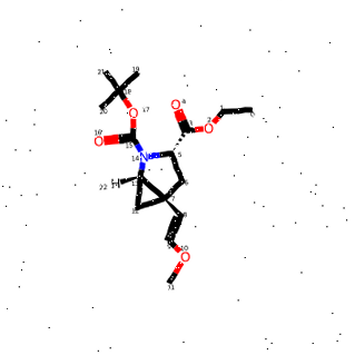 CCOC(=O)[C@@H]1C[C@]2(/C=C/OC)C[C@@H]2N1C(=O)OC(C)(C)C